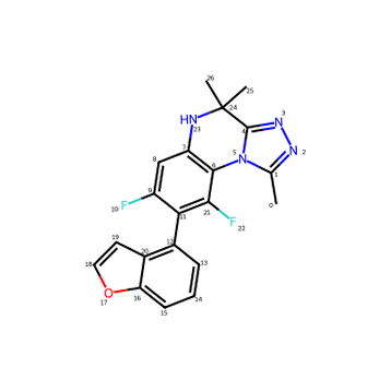 Cc1nnc2n1-c1c(cc(F)c(-c3cccc4occc34)c1F)NC2(C)C